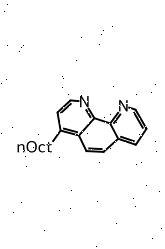 CCCCCCCCc1ccnc2c1ccc1cccnc12